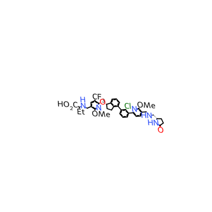 CC[C@H](NCc1cc(C(F)(F)F)c(O[C@H]2CCc3c(-c4cccc(-c5ccc(CNC[C@@H]6CCC(=O)N6)c(OC)n5)c4Cl)cccc32)nc1OC)C(=O)O